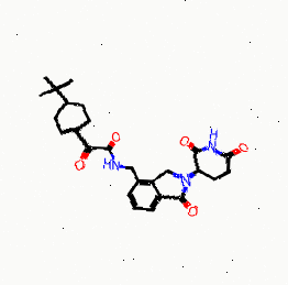 CC(C)(C)C1CCC(C(=O)C(=O)NCc2cccc3c2CN(C2CCC(=O)NC2=O)C3=O)CC1